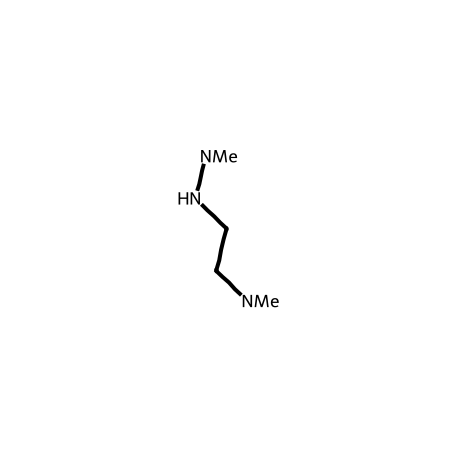 CNCCNNC